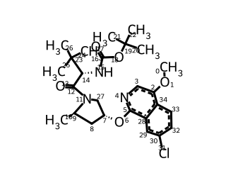 COc1cnc(O[C@@H]2C[C@@H](C)N(C(=O)[C@@H](NC(=O)OC(C)(C)C)C(C)(C)C)C2)c2cc(Cl)ccc12